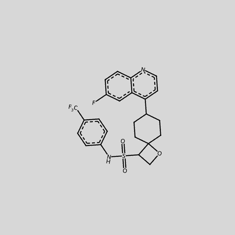 O=S(=O)(Nc1ccc(C(F)(F)F)cc1)C1COC12CCC(c1ccnc3ccc(F)cc13)CC2